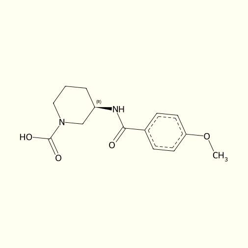 COc1ccc(C(=O)N[C@@H]2CCCN(C(=O)O)C2)cc1